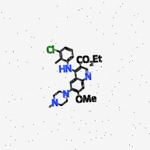 CCOC(=O)c1cnc2cc(OC)c(N3CCN(C)CC3)cc2c1Nc1cccc(Cl)c1C